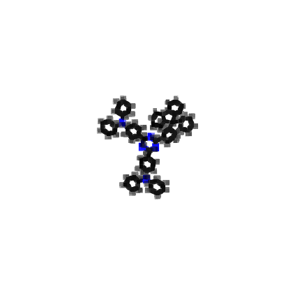 C1=CC2c3ccccc3C3(c4ccccc4-c4ccc(-c5nc(-c6ccc(N(c7ccccc7)c7ccccc7)cc6)nc(-c6ccc(N(c7ccccc7)c7ccccc7)cc6)n5)cc43)C2C=C1